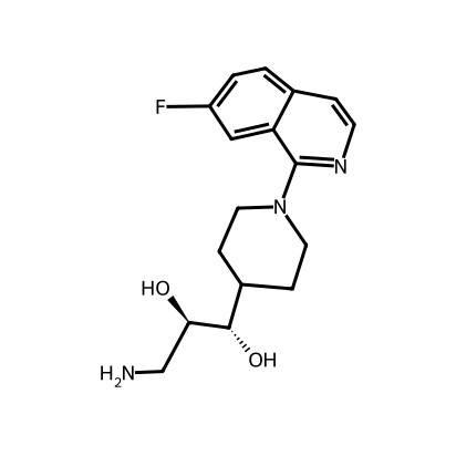 NC[C@@H](O)[C@@H](O)C1CCN(c2nccc3ccc(F)cc23)CC1